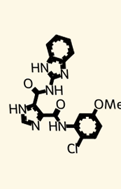 COc1ccc(Cl)c(NC(=O)c2nc[nH]c2C(=O)Nc2nc3ccccc3[nH]2)c1